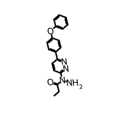 CCC(=O)N(N)c1ccc(-c2ccc(Oc3ccccc3)cc2)nn1